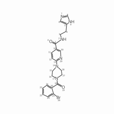 O=C(NCCc1cnc[nH]1)c1ccc(N2CCN(C(=O)c3ccccc3Br)CC2)nc1